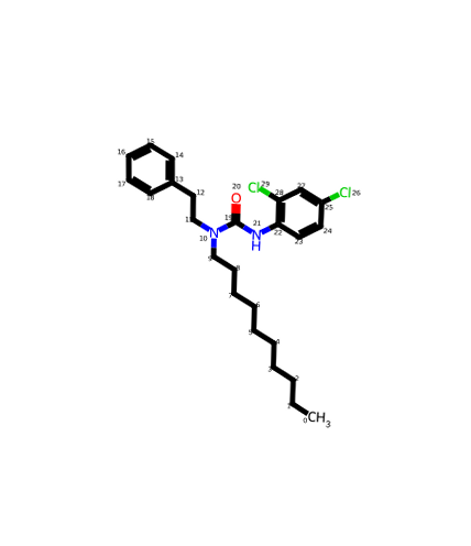 CCCCCCCCCCN(CCc1ccccc1)C(=O)Nc1ccc(Cl)cc1Cl